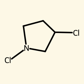 ClC1CCN(Cl)C1